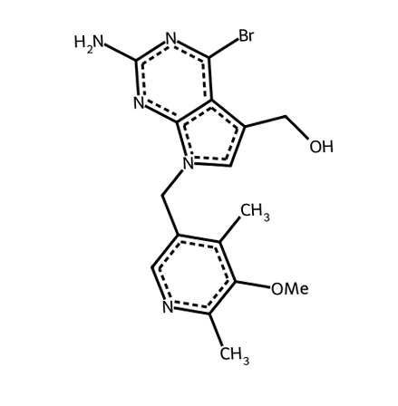 COc1c(C)ncc(Cn2cc(CO)c3c(Br)nc(N)nc32)c1C